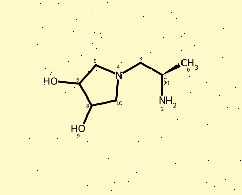 C[C@@H](N)CN1CC(O)C(O)C1